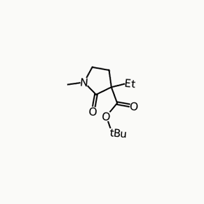 CCC1(C(=O)OC(C)(C)C)CCN(C)C1=O